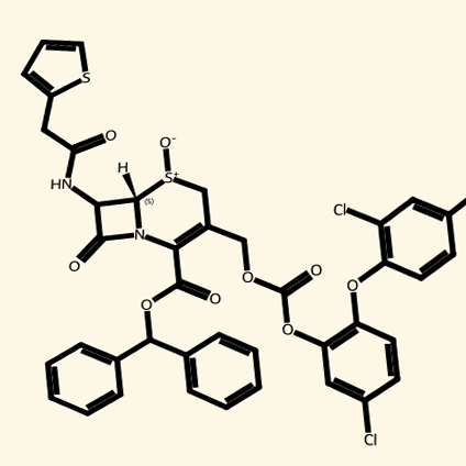 O=C(Cc1cccs1)NC1C(=O)N2C(C(=O)OC(c3ccccc3)c3ccccc3)=C(COC(=O)Oc3cc(Cl)ccc3Oc3ccc(Cl)cc3Cl)C[S+]([O-])[C@@H]12